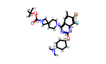 Cc1cc2c(N3CCC4(CC3)CN(C(=O)OC(C)(C)C)C4)nc(O[C@H]3CC[C@@H](N(C)C)CC3)nc2c(F)c1Br